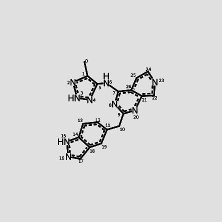 Cc1n[nH]nc1Nc1nc(Cc2ccc3[nH]ncc3c2)nc2cnccc12